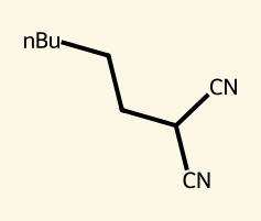 CCCCCCC(C#N)C#N